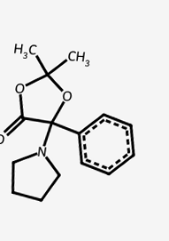 CC1(C)OC(=O)C(c2ccccc2)(N2CCCC2)O1